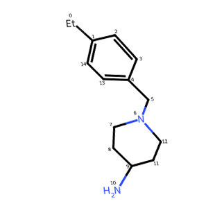 CCc1ccc(CN2CCC(N)CC2)cc1